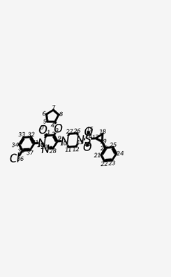 O=c1c(OC2CCCC2)c(N2CCN(S(=O)(=O)C3CC3c3ccccc3)CC2)cnn1-c1cccc(Cl)c1